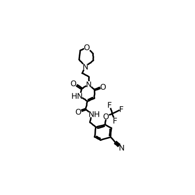 N#Cc1ccc(CNC(=O)c2cc(=O)n(CCN3CCOCC3)c(=O)[nH]2)c(OC(F)(F)F)c1